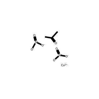 CC(C)=O.O=[N+]([O-])[O-].O=[N+]([O-])[O-].[Cu+2]